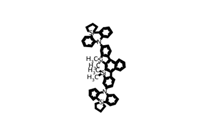 C[Si]1(C)c2cc(N3c4ccccc4[Si]4(CCCC4)c4ccccc43)ccc2-c2c1c1c(c3ccccc23)-c2ccc(N3c4ccccc4[Si]4(CCCC4)c4ccccc43)cc2[Si]1(C)C